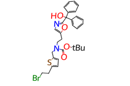 CC(C)(C)OC(=O)N(CCc1cnc(C(O)(c2ccccc2)c2ccccc2)o1)Cc1ccc(CCBr)s1